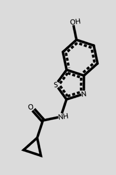 O=C(Nc1nc2ccc(O)cc2s1)C1CC1